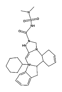 CN(C)S(=O)(=O)NC(=O)N1CN2C(=C[N+]3(C4CCCCC4)c4ccccc4CC3C3CC=CCC32)N1